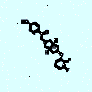 O=C(CN1C[C@H]2CC(Oc3cccc(F)c3F)C[C@H]2C1)c1ccc(O)cn1